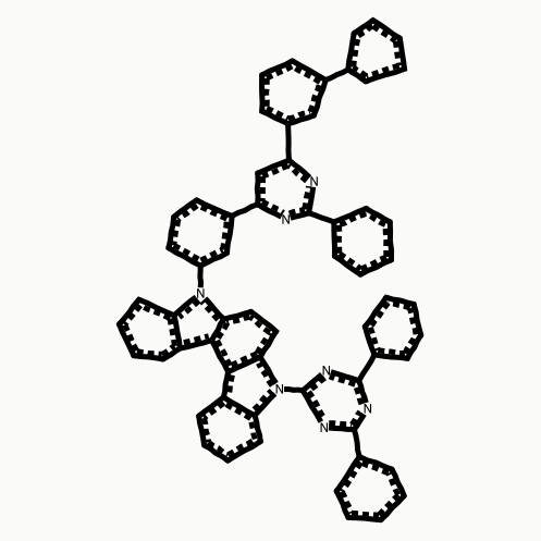 c1ccc(-c2cccc(-c3cc(-c4cccc(-n5c6ccccc6c6c7c8ccccc8n(-c8nc(-c9ccccc9)nc(-c9ccccc9)n8)c7ccc65)c4)nc(-c4ccccc4)n3)c2)cc1